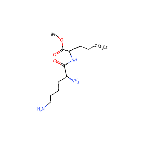 CCOC(=O)CCC(NC(=O)C(N)CCCCN)C(=O)OC(C)C